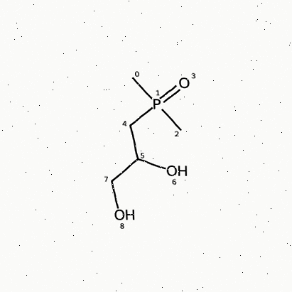 CP(C)(=O)CC(O)CO